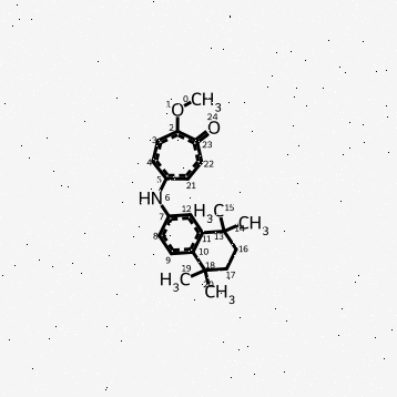 COc1ccc(Nc2ccc3c(c2)C(C)(C)CCC3(C)C)ccc1=O